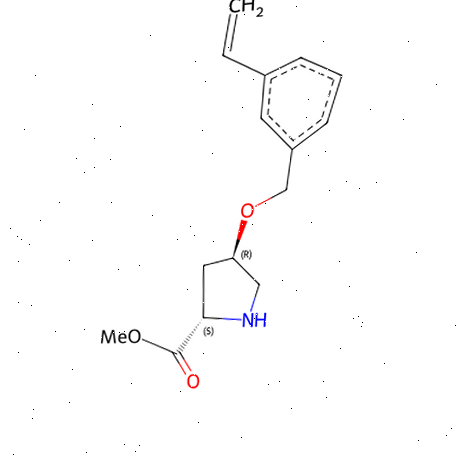 C=Cc1cccc(CO[C@H]2CN[C@H](C(=O)OC)C2)c1